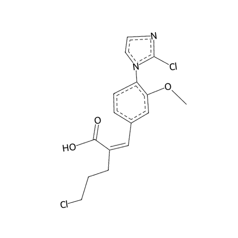 COc1cc(/C=C(/CCCCl)C(=O)O)ccc1-n1ccnc1Cl